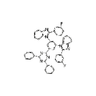 Fc1cccc(-c2nc3ccccc3n2-c2cc(-c3nc(-c4ccccc4)nc(-c4ccccc4)n3)cc(-n3c(-c4cccc(F)c4)nc4ccccc43)c2)c1